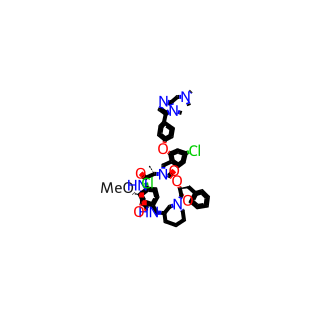 COC[C@@H]1NC(=O)[C@H](C)N(Cc2ccc(Cl)cc2Oc2ccc(-c3cnc(CN(C)C)n3C)cc2)C(=O)O[C@@H](Cc2ccccc2)C(=O)N2CCCC[C@@](Cc3ccc(Cl)cc3)(C2)NC2OC21